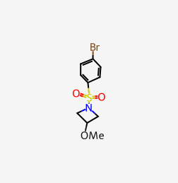 COC1CN(S(=O)(=O)c2ccc(Br)cc2)C1